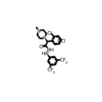 CN1CCN(C(C(=O)NNc2cc(C(F)(F)F)cc(C(F)(F)F)c2)c2ccccc2Cl)CC1.Cl